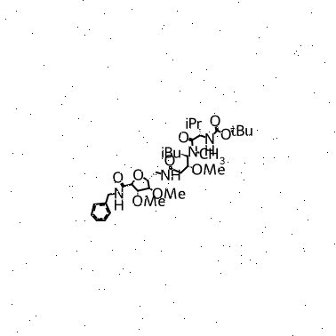 CC[C@H](C)C([C@@H](CC(=O)NC[C@H]1OC(C(=O)NCc2ccccc2)[C@@H](OC)[C@@H]1OC)OC)N(C)C(=O)[C@@H](NC(=O)OC(C)(C)C)C(C)C